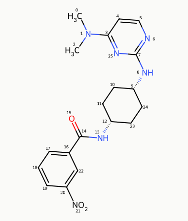 CN(C)c1ccnc(N[C@H]2CC[C@@H](NC(=O)c3cccc([N+](=O)[O-])c3)CC2)n1